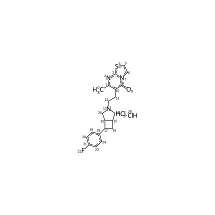 Cc1nc2sccn2c(=O)c1CCN1CC2CC(c3ccc(F)cc3)C2C1.Cl.Cl